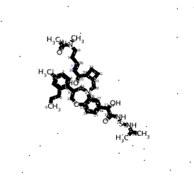 CCCc1cc(C)ccc1C1COc2ccc(C(O)C(=O)NSNC(C)C)cc2N(CC2CCC2C(O)/C=C/CCN(C)C(C)=O)C1